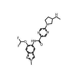 CNC1CCN(c2cnc(C(=O)Nc3cc4cn(C)nc4cc3OC(F)F)cn2)C1